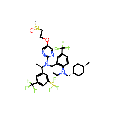 CCN(C[C@H]1CC[C@H](C)CC1)c1ccc(C(F)(F)F)cc1CN(c1ncc(OCC[S@@+](C)[O-])cn1)[C@H](C)c1cc(C(F)(F)F)cc(S(F)(F)F)c1